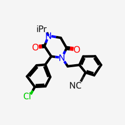 CC(C)N1CC(=O)N(Cc2ccccc2C#N)C(c2ccc(Cl)cc2)C1=O